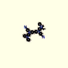 C=Cc1c(C=C)n(-c2ccccc2)c2ccc(N(c3ccc(C#N)cc3)c3ccc(-c4ccc(N(c5ccc(C#N)cc5)c5ccc6c(c5)c5ccccc5n6-c5ccccc5)cc4)cc3)cc12